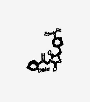 CCN(CC)c1ccc(C=C2SC(=O)N(CNc3ccccc3OC)C2=O)cc1